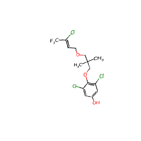 CC(C)(COCC=C(Cl)C(F)(F)F)COc1c(Cl)cc(O)cc1Cl